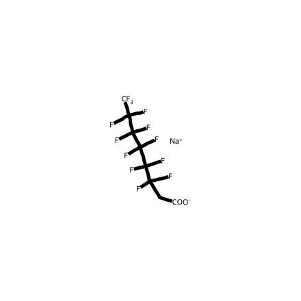 O=C([O-])CC(F)(F)C(F)(F)C(F)(F)C(F)(F)C(F)(F)C(F)(F)F.[Na+]